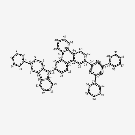 c1ccc(-c2ccc3c(c2)c2ccccc2n3-c2ccc3c4cc(-c5nc(-c6ccccc6)nc(-c6ccccc6)n5)ccc4c4ccccc4c3c2)cc1